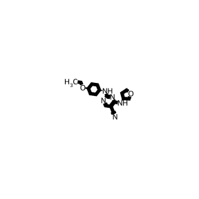 CCO[C@H]1CC[C@H](Nc2ncc(C#N)c(N[C@H]3CCOC3)n2)CC1